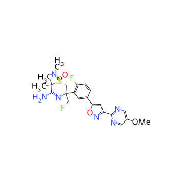 CN=[S@]1(=O)CC(CF)(c2cc(-c3cc(-c4ncc(OC)cn4)no3)ccc2F)N=C(N)C1(C)C